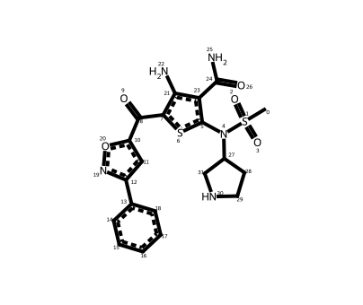 CS(=O)(=O)N(c1sc(C(=O)c2cc(-c3ccccc3)no2)c(N)c1C(N)=O)C1CCNC1